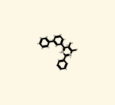 Cc1nc(-c2ccccc2)nc(-c2cccc(-c3ccccc3)c2)c1C